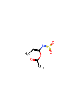 CC=C(N=S(=O)=O)OC(C)=O